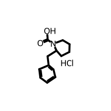 Cl.O=C(O)N1CCCCC1Cc1ccccc1